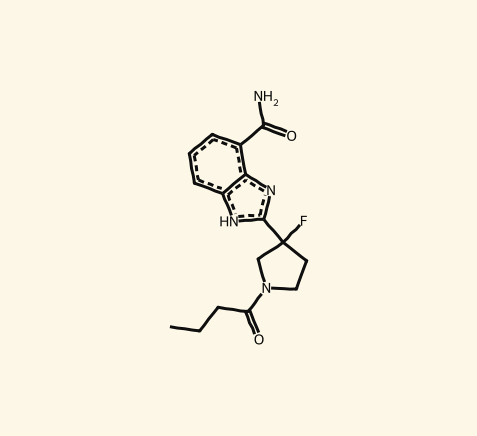 CCCC(=O)N1CCC(F)(c2nc3c(C(N)=O)cccc3[nH]2)C1